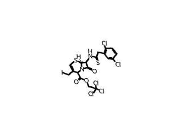 O=C(OCC(Cl)(Cl)Cl)C1C(CI)=CS[C@H]2C(NC(=S)Cc3cc(Cl)ccc3Cl)C(=O)N12